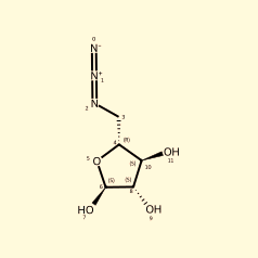 [N-]=[N+]=NC[C@H]1O[C@H](O)[C@@H](O)[C@@H]1O